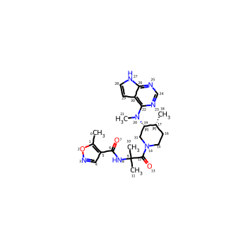 Cc1oncc1C(=O)NC(C)(C)C(=O)N1CC[C@@H](C)[C@@H](N(C)c2ncnc3[nH]ccc23)C1